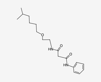 CC(C)CCCCOCCNC(=O)CC(=O)Nc1ccccc1